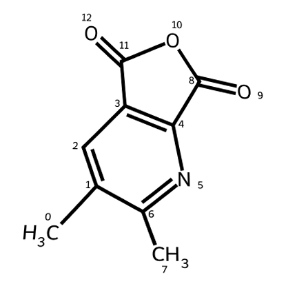 Cc1cc2c(nc1C)C(=O)OC2=O